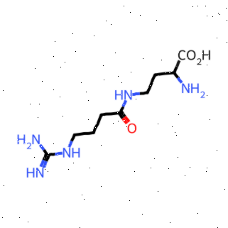 N=C(N)NCCCC(=O)NCCC(N)C(=O)O